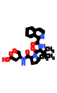 CC(C)(C)C(NC(=O)c1nccc2ccccc12)C(=O)N1CCCC1C(=O)N[C@H](C=O)CC(=O)O